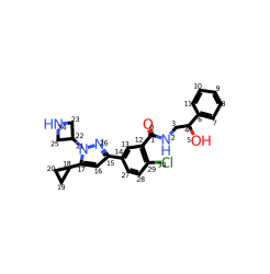 O=C(NCC(O)c1ccccc1)c1cc(-c2cc(C3CC3)n(C3CNC3)n2)ccc1Cl